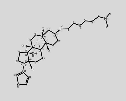 CN(C)CCCSCCO[C@H]1CC[C@@]2(C)[C@H](CC[C@@H]3[C@@H]2CC[C@]2(C)[C@H](c4ccoc4)CC[C@]32O)C1